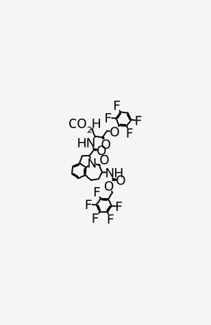 O=C(O)CC(NC(=O)C1Cc2cccc3c2N1C(=O)C(NC(=O)OCc1c(F)c(F)c(F)c(F)c1F)CC3)C(=O)COc1c(F)c(F)cc(F)c1F